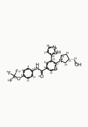 O=C(Nc1ccc(OC(F)(F)F)cc1)c1cnc(N2CC[C@H](CO)C2)c(-c2ccn[nH]2)c1